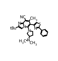 Cc1c(-c2csc(-c3ccccc3)n2)c(N2CCC(N(C)C)C2)n2cc(C(C)(C)C)nc2c1C#N